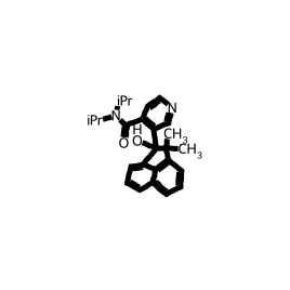 CC(C)N(C(=O)c1ccncc1C1(O)c2cccc3cccc(c23)C1(C)C)C(C)C